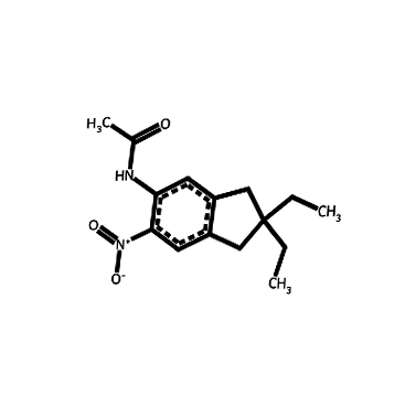 CCC1(CC)Cc2cc(NC(C)=O)c([N+](=O)[O-])cc2C1